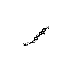 CC1c2cc(C#N)ccc2-c2ccc(COc3ccc(OCCCCOCC4CO4)cc3)cc21